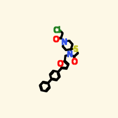 O=C(CCl)N1CCC2(CC1)SCC(=O)N2Cc1ccc(-c2ccc(-c3ccccc3)cc2)o1